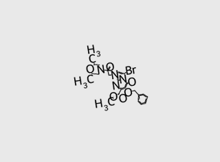 COC(=O)c1nc2n(CC(=O)N3CC(C)OC(C)C3)cc(Br)n2c(=O)c1OCc1ccccc1